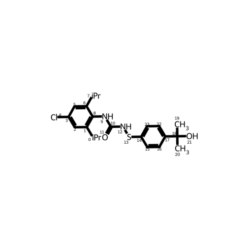 CC(C)c1cc(Cl)cc(C(C)C)c1NC(=O)NSc1ccc(C(C)(C)O)cc1